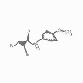 COc1ccc(NC(=O)C(Br)=CBr)cc1